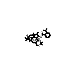 CC1=CC23C(=O)[C@@H](C=C4COC(C)(C)O[C@H]4[C@]2(O)[C@H]1OC(=O)c1ccccc1C(C)C)[C@@H]1[C@@H](CC3C)C1(C)C